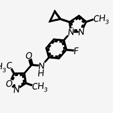 Cc1cc(C2CC2)n(-c2ccc(NC(=O)c3c(C)noc3C)cc2F)n1